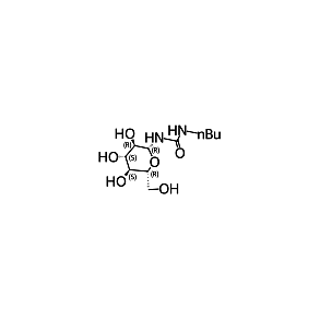 CCCCNC(=O)N[C@@H]1O[C@H](CO)[C@@H](O)[C@H](O)[C@H]1O